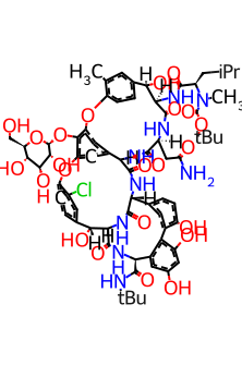 Cc1cc2ccc1Oc1cc3cc(c1O[C@@H]1O[C@H](CO)[C@@H](O)[C@H](O)[C@H]1O)Oc1ccc(cc1Cl)[C@@H](O)[C@@H]1NC(=O)[C@H](NC(=O)[C@@H]3NC(=O)[C@H](CC(N)=O)NC(=O)[C@H](NC(=O)[C@@H](CC(C)C)N(C)C(=O)OC(C)(C)C)[C@@H]2O)c2ccc(O)c(c2)-c2c(O)cc(O)cc2[C@@H](C(=O)NC(C)(C)C)NC1=O